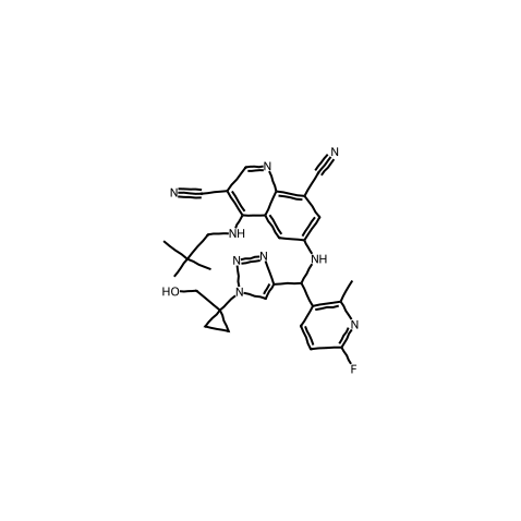 Cc1nc(F)ccc1C(Nc1cc(C#N)c2ncc(C#N)c(NCC(C)(C)C)c2c1)c1cn(C2(CO)CC2)nn1